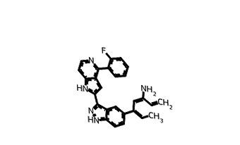 C=C/C(N)=C\C(=C/C)c1ccc2[nH]nc(-c3cc4c(-c5ccccc5F)nccc4[nH]3)c2c1